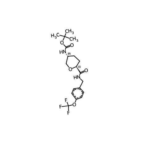 CC(C)(C)OC(=O)N[C@@H]1CC[C@@H](C(=O)NCc2ccc(OC(F)(F)F)cc2)OC1